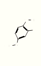 O=CNc1ccc(OC(F)(F)F)c(F)c1